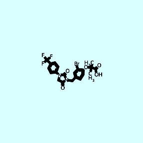 CC(C)(Oc1ccc(CN2C(=O)CN(c3ccc(C(F)(F)F)cc3)C2=O)cc1Br)C(=O)O